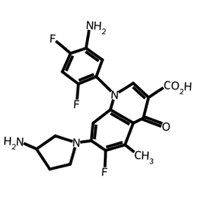 Cc1c(F)c(N2CCC(N)C2)cc2c1c(=O)c(C(=O)O)cn2-c1cc(N)c(F)cc1F